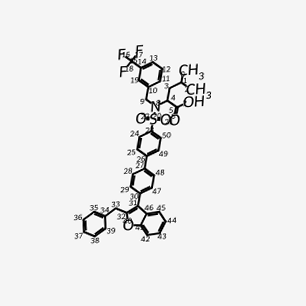 CC(C)CC(C(=O)O)N(Cc1cccc(C(F)(F)F)c1)S(=O)(=O)c1ccc(-c2ccc(-c3c(Cc4ccccc4)oc4ccccc34)cc2)cc1